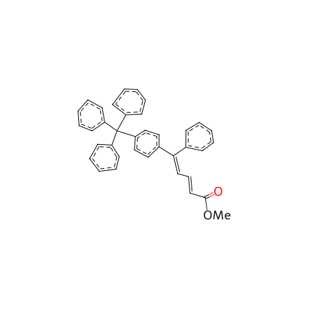 COC(=O)/C=C/C=C(\c1ccccc1)c1ccc(C(c2ccccc2)(c2ccccc2)c2ccccc2)cc1